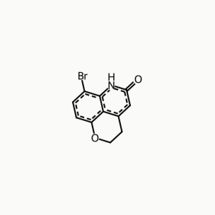 O=c1cc2c3c(ccc(Br)c3[nH]1)OCC2